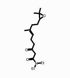 CCN(CC)C(=O)CC(=O)CCC=C(C)CCC1OC1(C)C